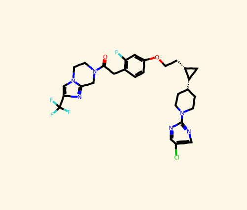 O=C(Cc1ccc(OCC[C@@H]2C[C@@H]2C2CCN(c3ncc(Cl)cn3)CC2)cc1F)N1CCn2cc(C(F)(F)F)nc2C1